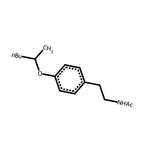 CCCCC(C)Oc1ccc(CCNC(C)=O)cc1